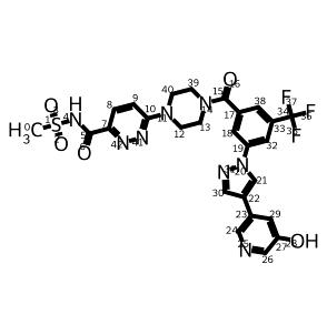 CS(=O)(=O)NC(=O)c1ccc(N2CCN(C(=O)c3cc(-n4cc(-c5cncc(O)c5)cn4)cc(C(F)(F)F)c3)CC2)nn1